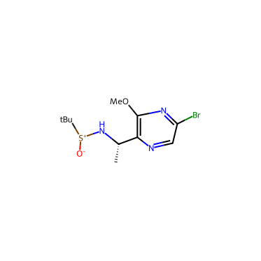 COc1nc(Br)cnc1[C@H](C)N[S+]([O-])C(C)(C)C